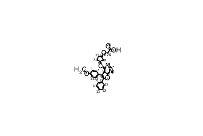 COc1ccc(-c2c(-c3ccccc3)oc3ncnc(O[C@@H]4CC[C@H](OCC(=O)O)C4)c23)cc1